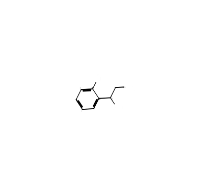 CCOC(=O)CC(C)c1ccccc1Cl